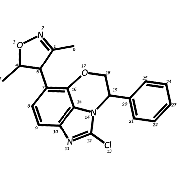 CC1=NOC(C)C1c1ccc2nc(Cl)n3c2c1OCC3c1ccccc1